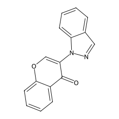 O=c1c(-n2ncc3ccccc32)coc2ccccc12